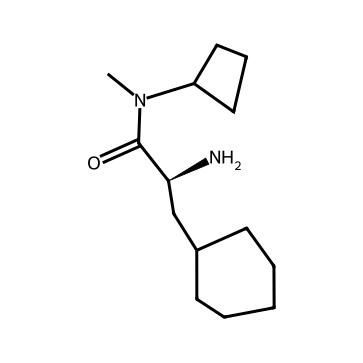 CN(C(=O)[C@@H](N)CC1CCCCC1)C1CCC1